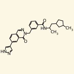 CC1CCC(CC(C)NC(=O)c2cccc(Cn3ncc4ccc(-c5cn[nH]c5)cc4c3=O)c2)C1